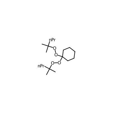 CCCC(C)(C)OOC1(OOC(C)(C)CCC)CCCCC1